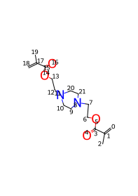 C=C(C)C(=O)OCCN1CCN(CCOC(=O)C(=C)C)CC1